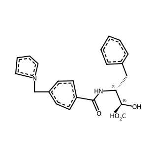 O=C(N[C@H](Cc1ccccc1)[C@@H](O)C(=O)O)c1ccc(Cn2cccc2)cc1